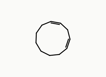 C1=C\CCCCCC/C=C\C/1